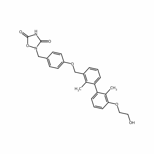 Cc1c(COc2ccc(Cn3oc(=O)[nH]c3=O)cc2)cccc1-c1cccc(OCCO)c1C